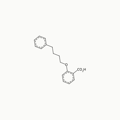 O=C(O)c1ccccc1OCCCCc1ccccc1